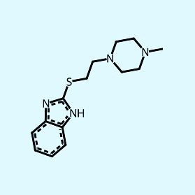 CN1CCN(CCSc2nc3ccccc3[nH]2)CC1